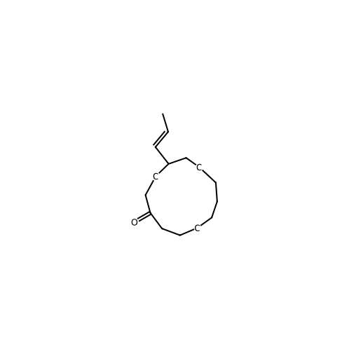 CC=CC1CCCCCCCCC(=O)CC1